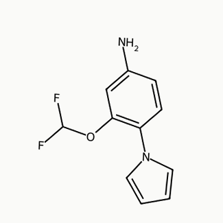 Nc1ccc(-n2cccc2)c(OC(F)F)c1